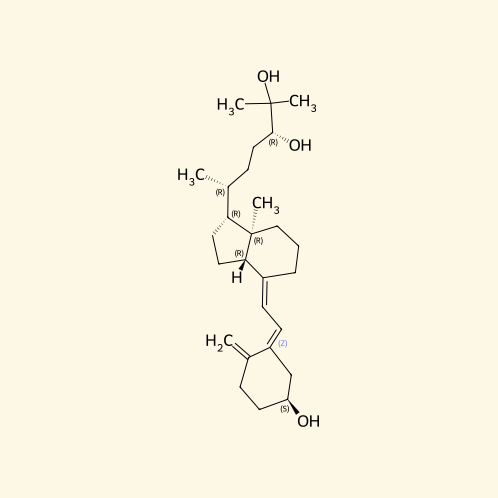 C=C1CC[C@H](O)C/C1=C/C=C1CCC[C@]2(C)[C@@H]([C@H](C)CC[C@@H](O)C(C)(C)O)CC[C@@H]12